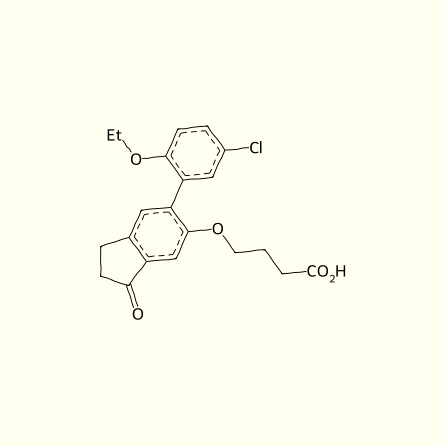 CCOc1ccc(Cl)cc1-c1cc2c(cc1OCCCC(=O)O)C(=O)CC2